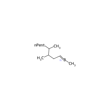 C/B=C/CC(C)C(C)CCCCC